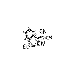 CCN(CC)c1ccccc1C(C#N)=C(C#N)C#N